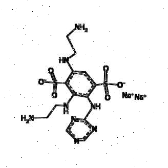 NCCNc1cc(S(=O)(=O)[O-])c(Nc2ncncn2)c(NCCN)c1S(=O)(=O)[O-].[Na+].[Na+]